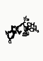 CC(Cn1cc2ncc(Cl)cc2n1)O[Si](C)(C)C(C)(C)C